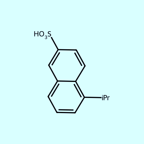 CC(C)c1cccc2cc(S(=O)(=O)O)ccc12